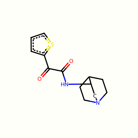 O=C(NC1CN2CCC1CC2)C(=O)c1cccs1